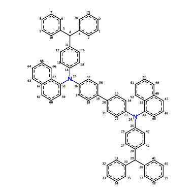 c1ccc(C(c2ccccc2)c2ccc(N(c3ccc(-c4ccc(N(c5ccc(C(c6ccccc6)c6ccccc6)cc5)c5cccc6ccccc56)cc4)cc3)c3cccc4ccccc34)cc2)cc1